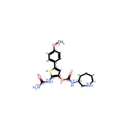 COc1ccc(-c2cc(OC(=O)N[C@H]3CCCCNC3)c(NC(N)=O)s2)cc1